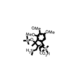 COc1cc(C=CC(=O)O)c(C(C)(O[Si](C)(C)C)C(C[SiH2]C)O[Si](C)(C)C)c(OC)c1OC